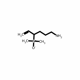 C=CC(CCCN)[N+](C)(C)[O-]